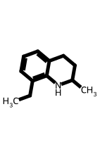 CCc1cccc2c1NC(C)CC2